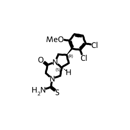 COc1ccc(Cl)c(Cl)c1[C@H]1C[C@H]2CN(C(N)=S)CC(=O)N2C1